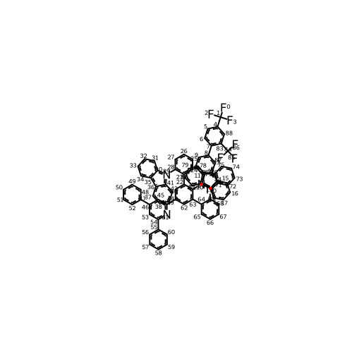 FC(F)(F)c1ccc(-c2ccc3c(c2)c2ccccc2n3-c2c(-c3ccccc3-n3c4ccccc4c4ccccc43)cc(-c3cc(-c4ccccc4)cc(-c4ccccc4)n3)cc2-c2ccccc2-n2c3ccccc3c3ccccc32)c(C(F)(F)F)c1